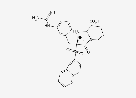 CC1C(C(=O)O)CCCN1C(=O)[C@@](N)(Cc1cccc(NC(=N)N)c1)S(=O)(=O)c1ccc2ccccc2c1